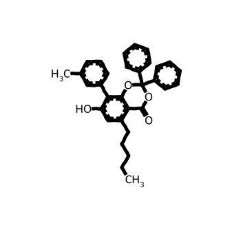 CCCCCc1cc(O)c(-c2cccc(C)c2)c2c1C(=O)OC(c1ccccc1)(c1ccccc1)O2